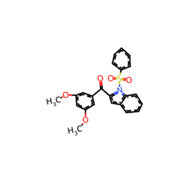 COc1cc(OC)cc(C(=O)c2cc3ccccc3n2S(=O)(=O)c2ccccc2)c1